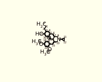 C=CCc1cc(/C=C2/CN(C3CC3)C/C(=C/c3ccc(OC)cc3OC)C2C=O)ccc1O